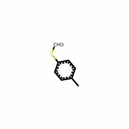 Cc1ccc(S[C]=O)cc1